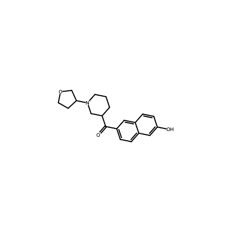 O=C(c1ccc2cc(O)ccc2c1)C1CCCN(C2CCOC2)C1